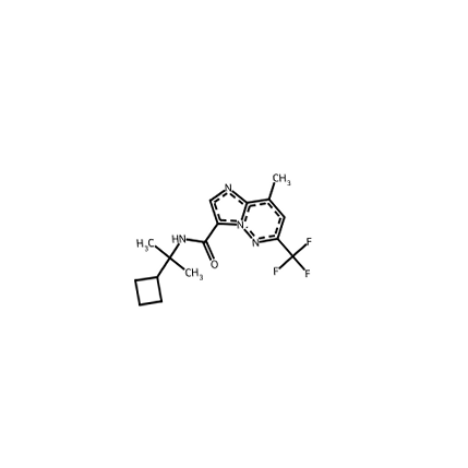 Cc1cc(C(F)(F)F)nn2c(C(=O)NC(C)(C)C3CCC3)cnc12